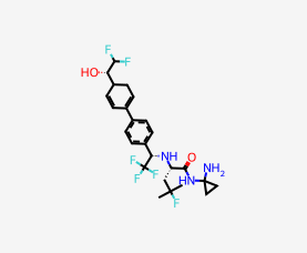 CC(C)(F)C[C@H](N[C@@H](c1ccc(C2=CCC([C@H](O)C(F)F)C=C2)cc1)C(F)(F)F)C(=O)NC1(N)CC1